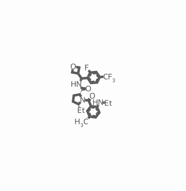 CCNc1ccc(C)cc1C(=O)N1[C@H](CC)CC[C@@H]1C(=O)NC(c1ccc(C(F)(F)F)cc1F)C1COC1